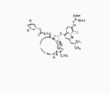 COC(=O)[C@@]12C[C@H]1/C=C\CCCCC[C@H](NC(=O)O[C@@H]1C[C@@H]3C[C@@H]3C1)C(=O)N1C[C@H](Oc3cc(C=C(C)C)nc4c(Cl)c(OCC(OC)OC)ccc34)C[C@H]1C(=O)N2